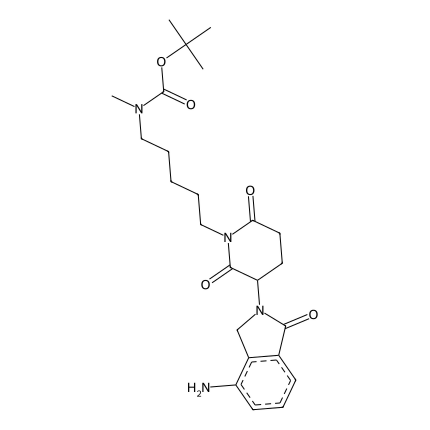 CN(CCCCCN1C(=O)CCC(N2Cc3c(N)cccc3C2=O)C1=O)C(=O)OC(C)(C)C